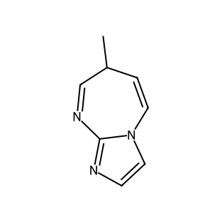 CC1C=Cn2ccnc2N=C1